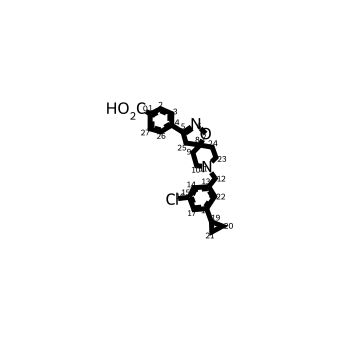 O=C(O)c1ccc(C2=NOC3(CCN(Cc4cc(Cl)cc(C5CC5)c4)CC3)C2)cc1